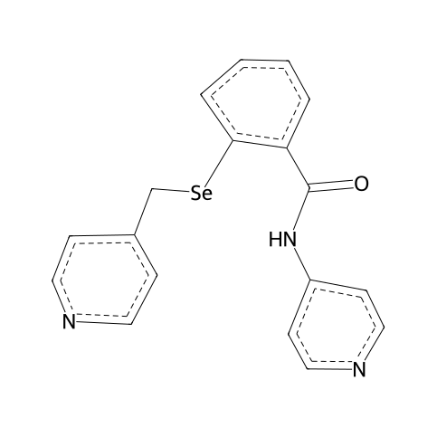 O=C(Nc1ccncc1)c1ccccc1[Se]Cc1ccncc1